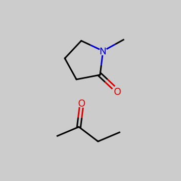 CCC(C)=O.CN1CCCC1=O